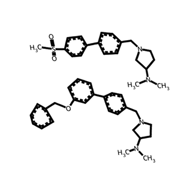 CN(C)C1CCN(Cc2ccc(-c3ccc(S(C)(=O)=O)cc3)cc2)C1.CN(C)C1CCN(Cc2ccc(-c3cccc(OCc4ccccc4)c3)cc2)C1